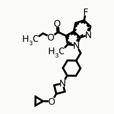 CCOC(=O)c1c(C)n(CC2CCC(N3CC(OC4CC4)C3)CC2)c2ncc(F)cc12